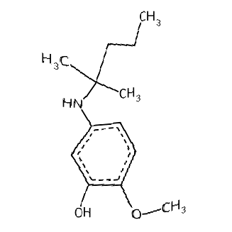 CCCC(C)(C)Nc1ccc(OC)c(O)c1